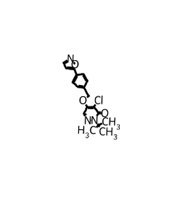 CC(C)(C)n1ncc(OCc2ccc(-c3ccno3)cc2)c(Cl)c1=O